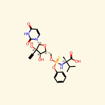 C#C[C@@]1(O)[C@H](O)[C@@H](COP(=S)(N[C@](C)(C(=O)O)C(C)C)Oc2ccccc2)O[C@H]1n1ccc(=O)[nH]c1=O